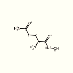 NC(=O)CC[C@H](N)C(=O)NO